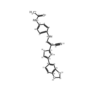 CC(=O)Nc1ccc(N/C=C(\C#N)c2nc(-c3ccc4c(c3)OCO4)cs2)cc1